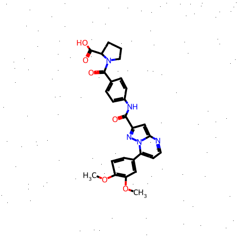 COc1ccc(-c2ccnc3cc(C(=O)Nc4ccc(C(=O)N5CCCC5C(=O)O)cc4)nn23)cc1OC